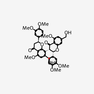 COc1ccc([C@@H]2CC(=O)c3c(OC)cc(CO)c([C@@H]4C(=O)c5c(OC)cc(CO)cc5O[C@@H]4c4ccc(OC)c(OC)c4)c3O2)cc1OC